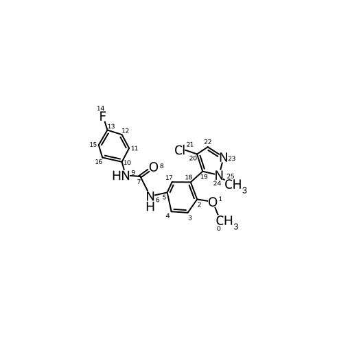 COc1ccc(NC(=O)Nc2ccc(F)cc2)cc1-c1c(Cl)cnn1C